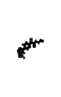 CC(=O)CCC(=O)Nc1ccc(-c2cc(C)no2)cc1